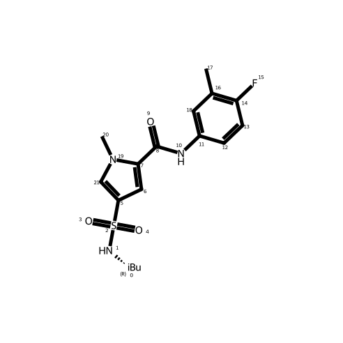 CC[C@@H](C)NS(=O)(=O)c1cc(C(=O)Nc2ccc(F)c(C)c2)n(C)c1